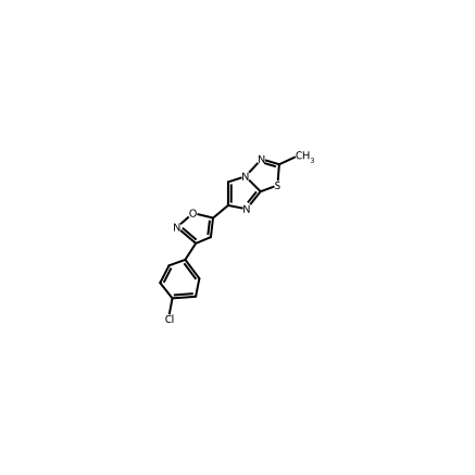 Cc1nn2cc(-c3cc(-c4ccc(Cl)cc4)no3)nc2s1